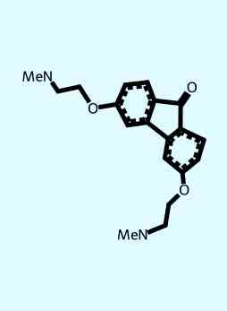 CNCCOc1ccc2c(c1)-c1cc(OCCNC)ccc1C2=O